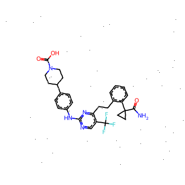 NC(=O)C1(c2ccccc2CCc2nc(Nc3ccc(C4CCN(C(=O)O)CC4)cc3)ncc2C(F)(F)F)CC1